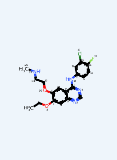 CCOc1cc2ncnc(Nc3ccc(F)c(Cl)c3)c2cc1OCCNC